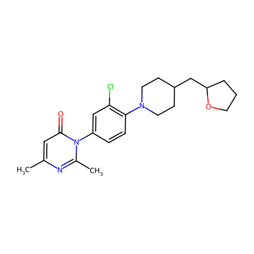 Cc1cc(=O)n(-c2ccc(N3CCC(CC4CCCO4)CC3)c(Cl)c2)c(C)n1